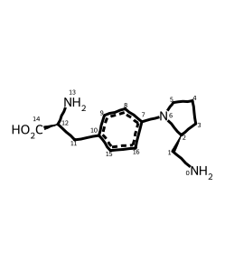 NC[C@@H]1CCCN1c1ccc(C[C@H](N)C(=O)O)cc1